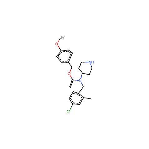 C=C(OCc1ccc(OC(C)C)cc1)N(Cc1ccc(Cl)cc1C)C1CCNCC1